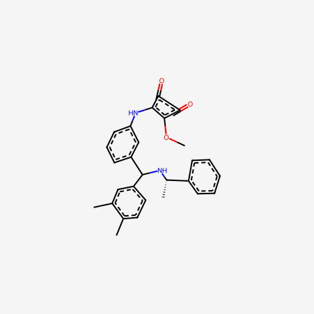 COc1c(Nc2cccc(C(N[C@@H](C)c3ccccc3)c3ccc(C)c(C)c3)c2)c(=O)c1=O